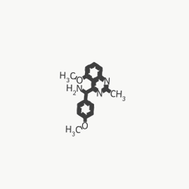 COc1ccc(C(N)c2nc(C)nc3cccc(OC)c23)cc1